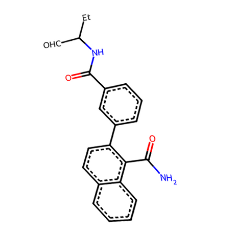 CCC(C=O)NC(=O)c1cccc(-c2ccc3ccccc3c2C(N)=O)c1